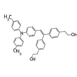 Cc1ccc(N(c2ccc(C)cc2)c2ccc(C=C(c3ccc(CCO)cc3)c3ccc(CCO)cc3)cc2)cc1